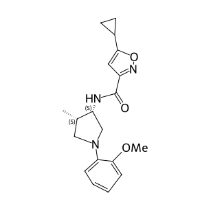 COc1ccccc1N1C[C@H](C)[C@H](NC(=O)c2cc(C3CC3)on2)C1